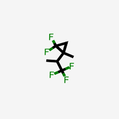 CC(C(F)(F)F)C1(C)CC1(F)F